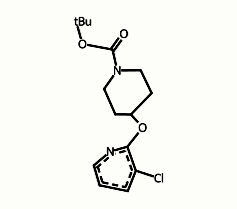 CC(C)(C)OC(=O)N1CCC(Oc2ncccc2Cl)CC1